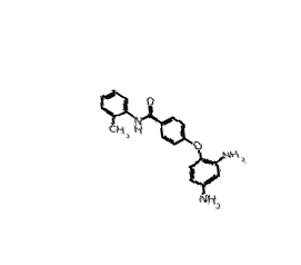 Cc1ccccc1NC(=O)c1ccc(Oc2ccc(N)cc2N)cc1